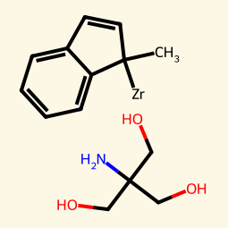 C[C]1([Zr])C=Cc2ccccc21.NC(CO)(CO)CO